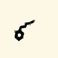 S=C=NC=Cc1ccccc1